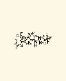 Cc1ccc(C(F)(F)F)c(-c2cnc3c(Nc4ncc(C(F)(F)F)cn4)ccnc3n2)n1